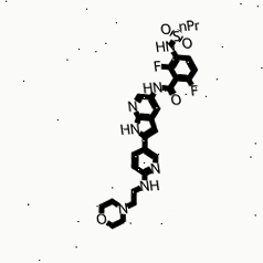 CCCS(=O)(=O)Nc1ccc(F)c(C(=O)Nc2cnc3[nH]c(-c4ccc(NCCN5CCOCC5)nc4)cc3c2)c1F